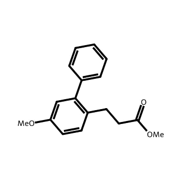 COC(=O)CCc1ccc(OC)cc1-c1ccccc1